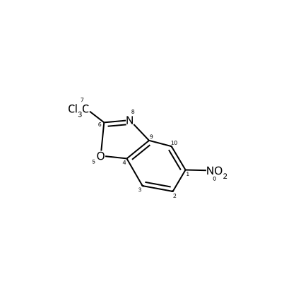 O=[N+]([O-])c1ccc2oc(C(Cl)(Cl)Cl)nc2c1